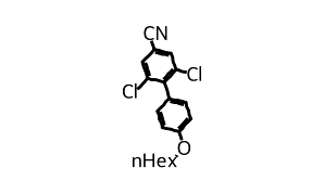 CCCCCCOc1ccc(-c2c(Cl)cc(C#N)cc2Cl)cc1